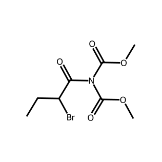 CCC(Br)C(=O)N(C(=O)OC)C(=O)OC